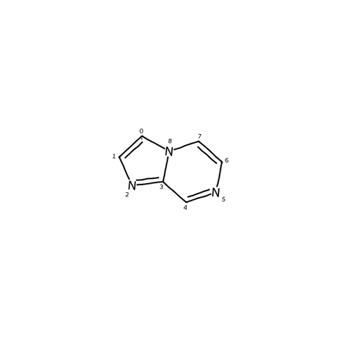 [c]1cnc2cnccn12